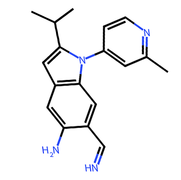 Cc1cc(-n2c(C(C)C)cc3cc(N)c(C=N)cc32)ccn1